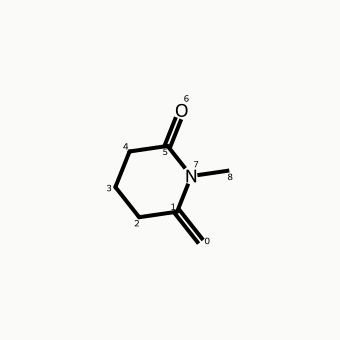 C=C1CCCC(=O)N1C